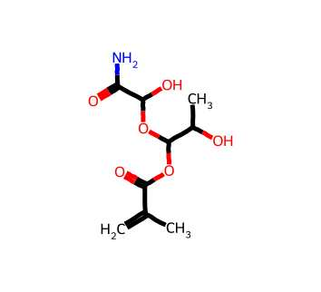 C=C(C)C(=O)OC(OC(O)C(N)=O)C(C)O